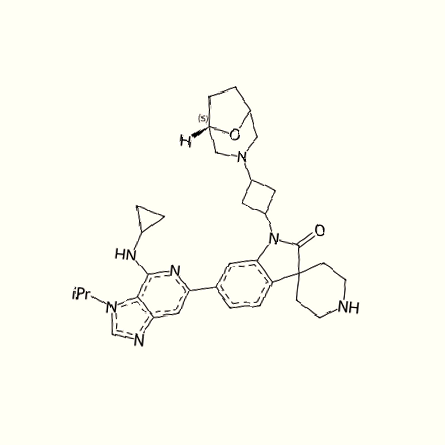 CC(C)n1cnc2cc(-c3ccc4c(c3)N(C3CC(N5CC6CC[C@@H](C5)O6)C3)C(=O)C43CCNCC3)nc(NC3CC3)c21